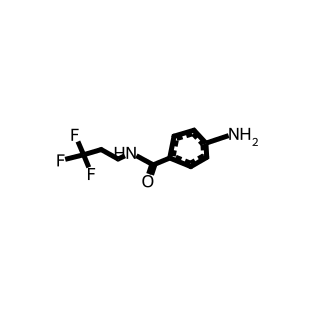 Nc1ccc(C(=O)NCCC(F)(F)F)cc1